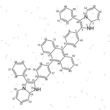 C1=CC2NC(c3ccc(-c4c5ccccc5c(-c5ccc(C6=C(c7ccccc7)N7C=CC=CC7N6)cc5)c5ccccc45)cc3)=C(c3ccccc3)N2C=C1